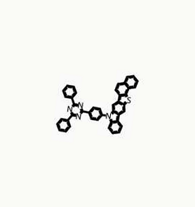 c1ccc(-c2nc(-c3ccccc3)nc(-c3ccc(-n4c5ccccc5c5cc6sc7c8ccccc8ccc7c6cc54)cc3)n2)cc1